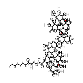 CCCCCCCC(=O)NCCNC(=O)C1OC(O[C@H]2CC[C@@]3(C)C(CC[C@]4(C)C3CC=C3C5CC(C)(C)CC[C@]5(C(=O)OC5OC(C)C(O)C(O)C5OC5OC(C)C(O)C(OC)C5OC5OC(CO)C(O)C(O)C5O)[C@H](O)C[C@]34C)[C@]2(C)C=O)C(OC2OC(CO)C(O)C(O)C2O)C(OC2OCC(O)C(O)C2O)C1O